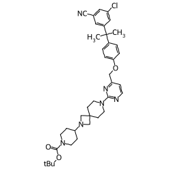 CC(C)(C)OC(=O)N1CCC(N2CC3(CCN(c4nccc(COc5ccc(C(C)(C)c6cc(Cl)cc(C#N)c6)cc5)n4)CC3)C2)CC1